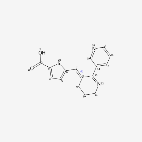 O=C(O)c1ccc(/C=C2\CCCN=C2c2cccnc2)s1